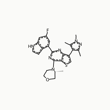 Cc1nn(C)c(C)c1-c1csc2c(N3CCOC[C@H]3C)nc(-c3cc(F)cc4[nH]ccc34)nc12